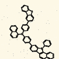 c1ccc(-n2c3cc(-c4ccc(N(c5ccc(-c6ccc7sc8ccccc8c7c6)cc5)c5cccc6ccccc56)cc4)ccc3c3ccc4ccccc4c32)cc1